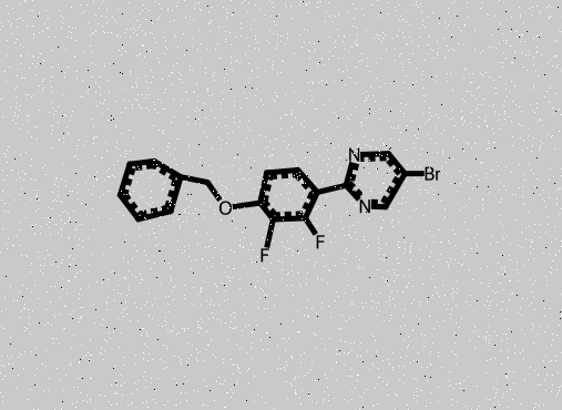 Fc1c(OCc2ccccc2)ccc(-c2ncc(Br)cn2)c1F